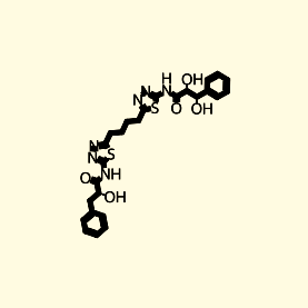 O=C(Nc1nnc(CCCCc2nnc(NC(=O)[C@H](O)[C@@H](O)c3ccccc3)s2)s1)[C@H](O)Cc1ccccc1